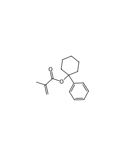 C=C(C)C(=O)OC1(c2ccccc2)CCCCC1